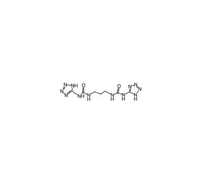 O=C(NCCCNC(=O)Nc1nnn[nH]1)Nc1nnn[nH]1